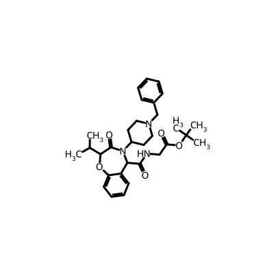 CC(C)C1Oc2ccccc2C(C(=O)NCC(=O)OC(C)(C)C)N(C2CCN(Cc3ccccc3)CC2)C1=O